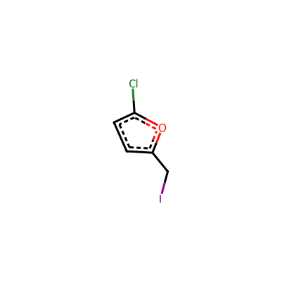 Clc1ccc(CI)o1